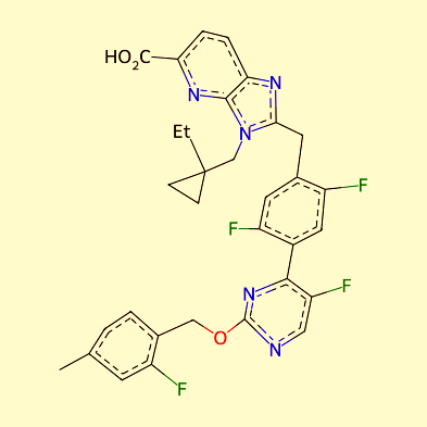 CCC1(Cn2c(Cc3cc(F)c(-c4nc(OCc5ccc(C)cc5F)ncc4F)cc3F)nc3ccc(C(=O)O)nc32)CC1